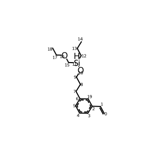 C=Cc1cccc(CCCO[SiH](CCC)COCC)c1